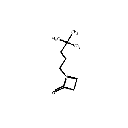 CC(C)(C)CCCN1CCC1=O